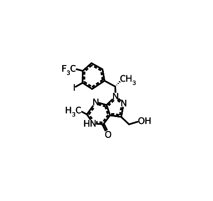 Cc1nc2c(c(CO)nn2[C@@H](C)c2ccc(C(F)(F)F)c(I)c2)c(=O)[nH]1